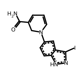 NC(=O)C1=CC=CN(c2ccc3[nH]nc(I)c3c2)C1